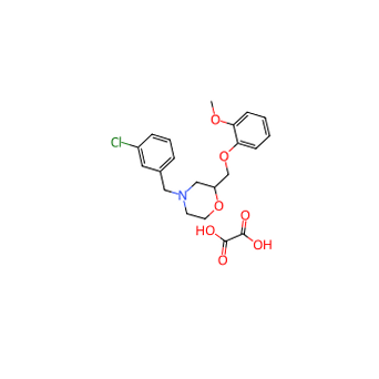 COc1ccccc1OCC1CN(Cc2cccc(Cl)c2)CCO1.O=C(O)C(=O)O